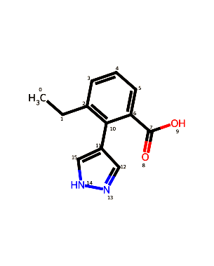 CCc1cccc(C(=O)O)c1-c1cn[nH]c1